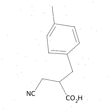 Cc1ccc(CC(CC#N)C(=O)O)cc1